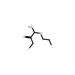 CC(OCCI)C(=O)CI